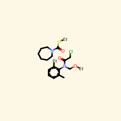 CCOCN(C(=O)CCl)c1c(C)cccc1CC.CCSC(=O)N1CCCCCC1